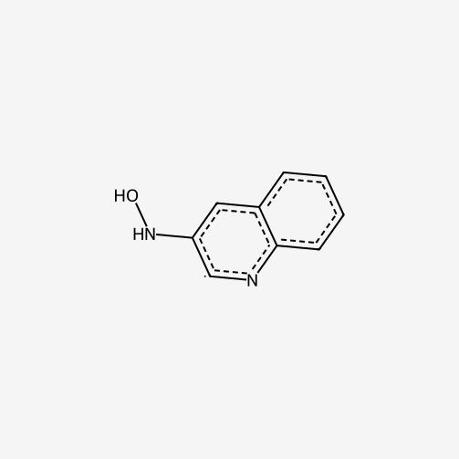 ONc1[c]nc2ccccc2c1